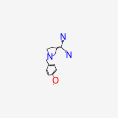 COc1ccc(CN2CCC(=C(C#N)C#N)C2)cc1